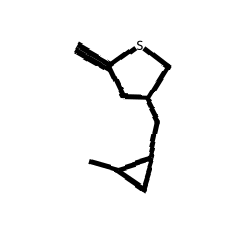 C=C1CC(CC2CC2C)CS1